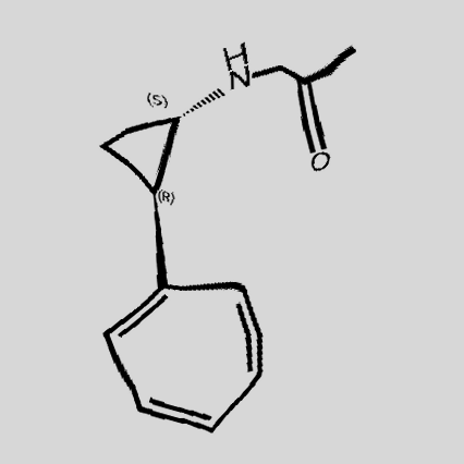 CC(=O)N[C@H]1C[C@@H]1c1ccccc1